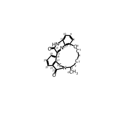 CC1CCCCOc2cccc3[nH]c(=O)c(nc23)-c2cccc3c(=O)n1sc23